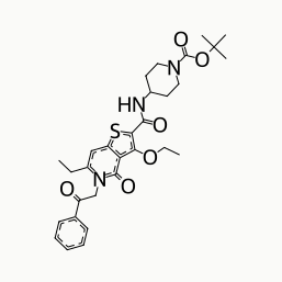 CCOc1c(C(=O)NC2CCN(C(=O)OC(C)(C)C)CC2)sc2cc(CC)n(CC(=O)c3ccccc3)c(=O)c12